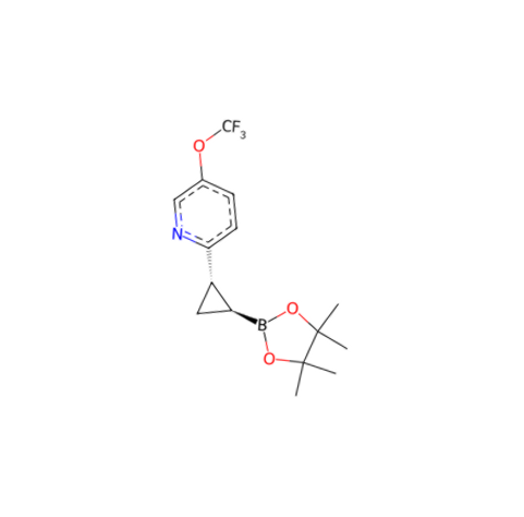 CC1(C)OB([C@H]2C[C@@H]2c2ccc(OC(F)(F)F)cn2)OC1(C)C